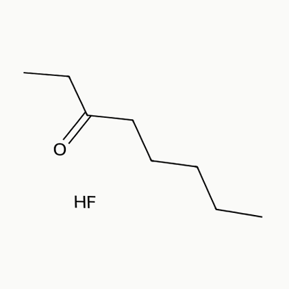 CCCCCC(=O)CC.F